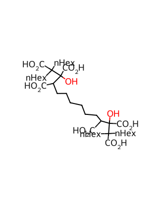 CCCCCCC(CCCCCC)(C(=O)O)C(O)(C(=O)O)C(CCCCCCC(C(=O)O)C(O)(C(=O)O)C(CCCCCC)(CCCCCC)C(=O)O)C(=O)O